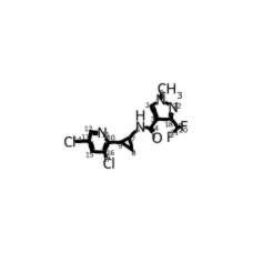 Cn1cc(C(=O)NC2CC2c2ncc(Cl)cc2Cl)c(C(F)F)n1